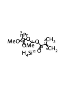 C=C(C)C(=O)OCO[Si](CCC)(OC)OC.[SiH4]